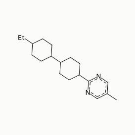 CCC1CCC(C2CCC(c3ncc(C)cn3)CC2)CC1